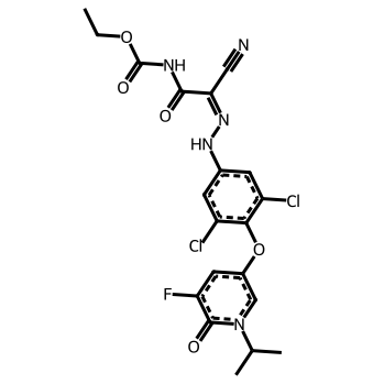 CCOC(=O)NC(=O)C(C#N)=NNc1cc(Cl)c(Oc2cc(F)c(=O)n(C(C)C)c2)c(Cl)c1